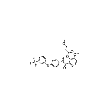 COCCC(=O)Oc1c(OC)ccnc1C(=O)Nc1ccc(Sc2cccc(C(F)(F)F)c2)cc1